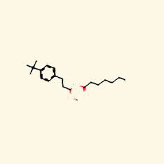 CCCCCCC(=O)OC(CCc1ccc(C(C)(C)C)cc1)OC